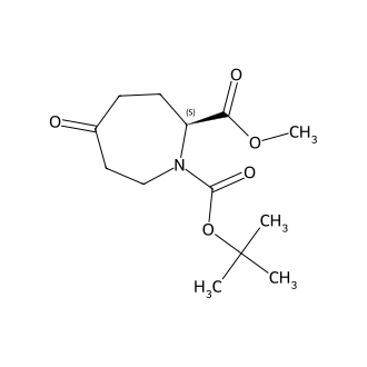 COC(=O)[C@@H]1CCC(=O)CCN1C(=O)OC(C)(C)C